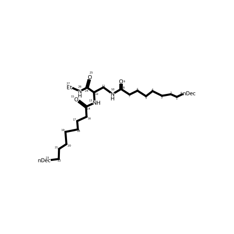 CCCCCCCCCCCCCCCCCC(=O)NCC(NC(=O)CCCCCCCCCCCCCCCCC)C(=O)NCC